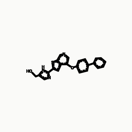 OCc1cnc(-c2cc3c(Oc4ccc(-c5ccccc5)cc4)cncc3s2)[nH]1